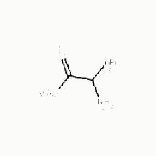 [CH2]CCC(N)C(=O)OC